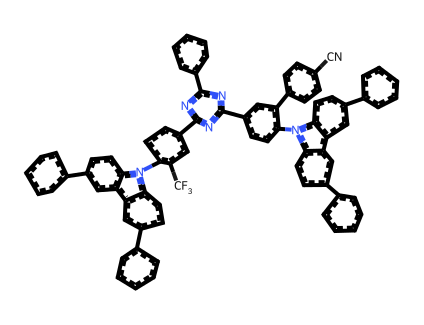 N#Cc1ccc(-c2cc(-c3nc(-c4ccccc4)nc(-c4ccc(-n5c6ccc(-c7ccccc7)cc6c6cc(-c7ccccc7)ccc65)c(C(F)(F)F)c4)n3)ccc2-n2c3ccc(-c4ccccc4)cc3c3cc(-c4ccccc4)ccc32)cc1